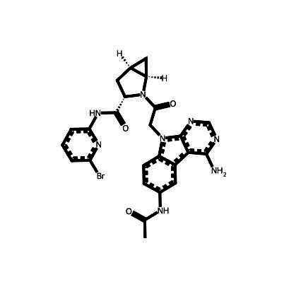 CC(=O)Nc1ccc2c(c1)c1c(N)ncnc1n2CC(=O)N1[C@@H]2C[C@@H]2C[C@H]1C(=O)Nc1cccc(Br)n1